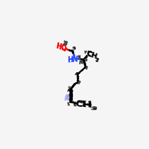 C/C=C\CCC[C@H](C)NCO